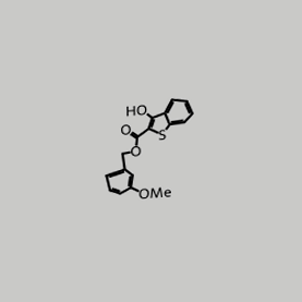 COc1cccc(COC(=O)c2sc3ccccc3c2O)c1